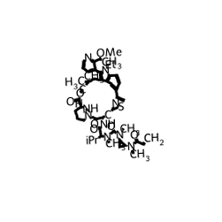 C=CC(=O)N(C)[C@@H]1C[C@H]1N(C)C(=O)N(C)C(C(=O)N[C@H]1Cc2nc(cs2)-c2ccc3c(c2)c(c(-c2cccnc2[C@H](C)OC)n3CC)CC(C)(C)COC(=O)[C@@H]2CCCN(N2)C1=O)C(C)C